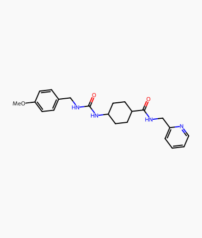 COc1ccc(CNC(=O)NC2CCC(C(=O)NCc3ccccn3)CC2)cc1